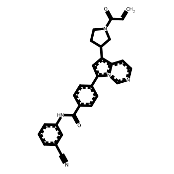 C=CC(=O)N1CCC(c2cc(-c3ccc(C(=O)Nc4cccc(C#N)c4)cc3)n3cnccc23)C1